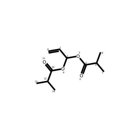 C=CC(OC(=O)C(C)C)OC(=O)C(C)C